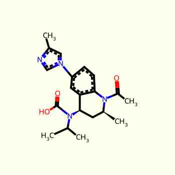 CC(=O)N1c2ccc(-n3cnc(C)c3)cc2[C@H](N(C(=O)O)C(C)C)C[C@@H]1C